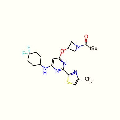 CC(C)(C)C(=O)N1CC(Oc2cc(NC3CCC(F)(F)CC3)nc(-c3nc(C(F)(F)F)cs3)n2)C1